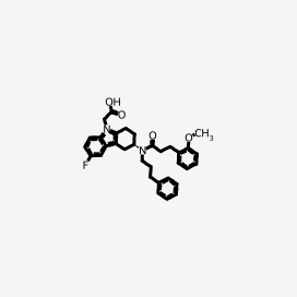 COc1ccccc1CCC(=O)N(CCCc1ccccc1)[C@H]1CCc2c(c3cc(F)ccc3n2CC(=O)O)C1